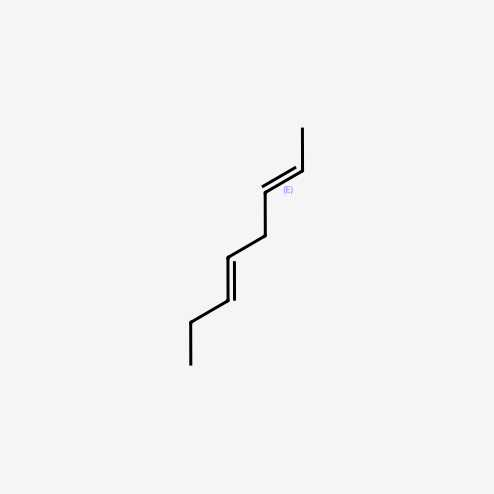 C/C=C/CC=CCC